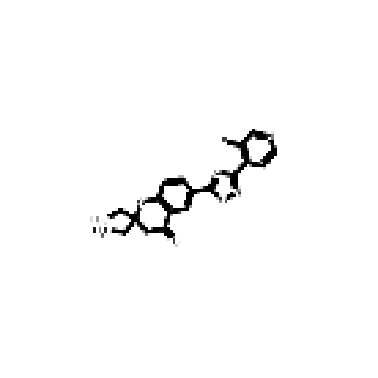 CCC1(CC)CC(=O)c2cc(-c3nc(-c4ccncc4F)no3)ccc2O1